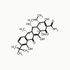 C[C@H]1c2ccc(C(C)(C)C)c(O)c2C(=O)C2=C(O)[C@]3(O)C(=O)C(C(N)=O)=C(O)[C@@H](N(C)C)C3[C@@H](O)C21